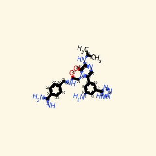 CC(C)Nc1ncc(-c2cc(N)cc(-c3nnn[nH]3)c2)n(CC(=O)NCc2ccc(C(=N)N)cc2)c1=O